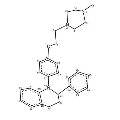 CN1CCN(CCOc2ccc(N3c4ccccc4CCC3c3ccccc3)cc2)CC1